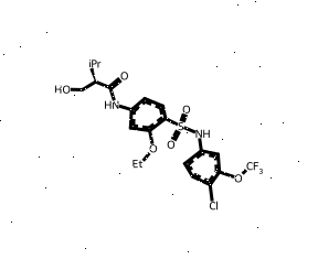 CCOc1cc(NC(=O)[C@@H](CO)C(C)C)ccc1S(=O)(=O)Nc1ccc(Cl)c(OC(F)(F)F)c1